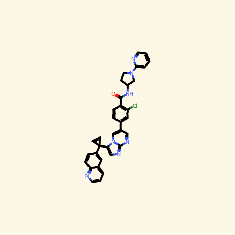 O=C(NC1CCN(c2ccccn2)C1)c1ccc(-c2cnc3ncc(C4(c5ccc6ncccc6c5)C=C4)n3c2)cc1Cl